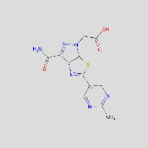 Cc1ncc(C2=NC3C(C(N)=O)=NN(CC(=O)O)C3S2)cn1